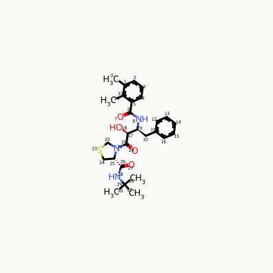 Cc1cccc(C(=O)N[C@@H](Cc2ccccc2)[C@H](O)C(=O)N2CSC[C@H]2C(=O)NC(C)(C)C)c1C